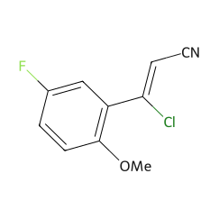 COc1ccc(F)cc1C(Cl)=CC#N